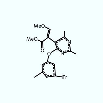 COC=C(C(=O)OC)c1c(C)nc(C)nc1Oc1cc(C)cc(C(C)C)c1